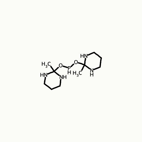 CC1(OPOC2(C)NCCCN2)NCCCN1